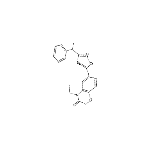 CCN1C(=O)COc2ccc(-c3nc(C(C)c4ccccc4)no3)cc21